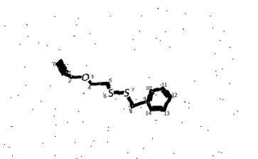 C#CCOCCSS[CH]c1ccccc1